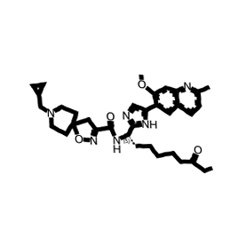 CCC(=O)CCCCC[C@H](NC(=O)C1=NOC2(CCN(CC3CC3)CC2)C1)c1ncc(-c2cc3ccc(C)nc3cc2OC)[nH]1